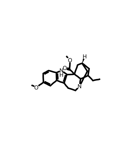 CCC1C[C@@H]2CN3CCc4c([nH]c5ccc(OC)cc45)C(C(=O)OC)(C2)C13